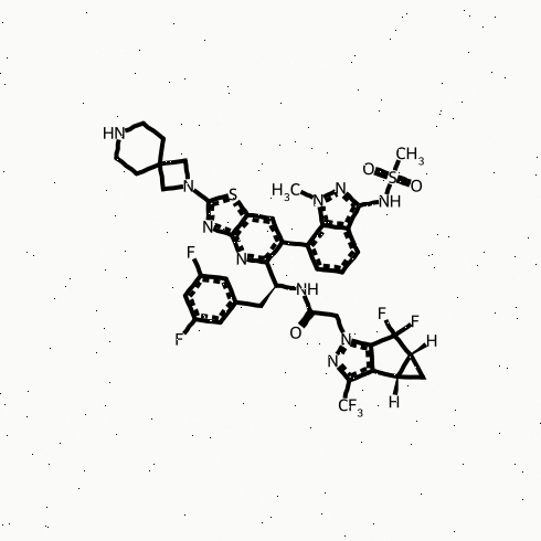 Cn1nc(NS(C)(=O)=O)c2cccc(-c3cc4sc(N5CC6(CCNCC6)C5)nc4nc3[C@H](Cc3cc(F)cc(F)c3)NC(=O)Cn3nc(C(F)(F)F)c4c3C(F)(F)[C@@H]3C[C@H]43)c21